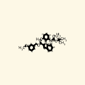 COc1cccc(COC(=O)c2cc3ccccc3n2-c2c(C)cccc2NC(=O)OC(C)(C)C)c1